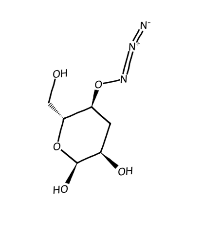 [N-]=[N+]=NO[C@H]1C[C@@H](O)[C@@H](O)O[C@@H]1CO